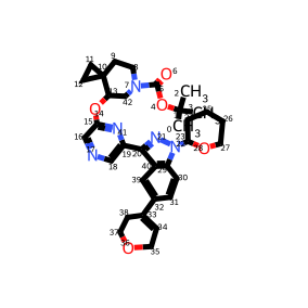 CC(C)(C)OC(=O)N1CCC2(CC2)C(Oc2cncc(-c3nn(C4CCCCO4)c4ccc(C5=CCOCC5)cc34)n2)C1